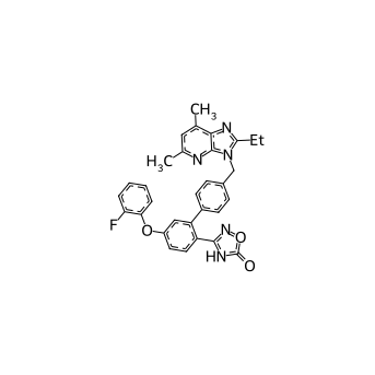 CCc1nc2c(C)cc(C)nc2n1Cc1ccc(-c2cc(Oc3ccccc3F)ccc2-c2noc(=O)[nH]2)cc1